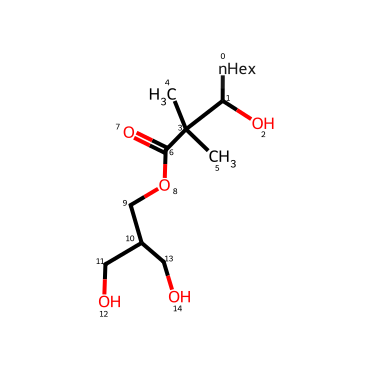 CCCCCCC(O)C(C)(C)C(=O)OCC(CO)CO